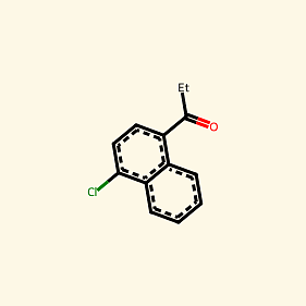 CCC(=O)c1ccc(Cl)c2ccccc12